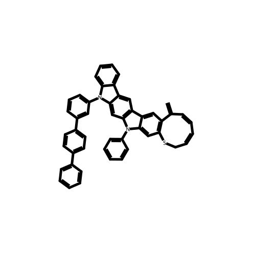 C=C1/C=C\C=C/CSc2cc3c(cc21)c1cc2c4ccccc4n(-c4cccc(-c5ccc(-c6ccccc6)cc5)c4)c2cc1n3-c1ccccc1